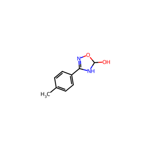 Cc1ccc(C2=NOC(O)N2)cc1